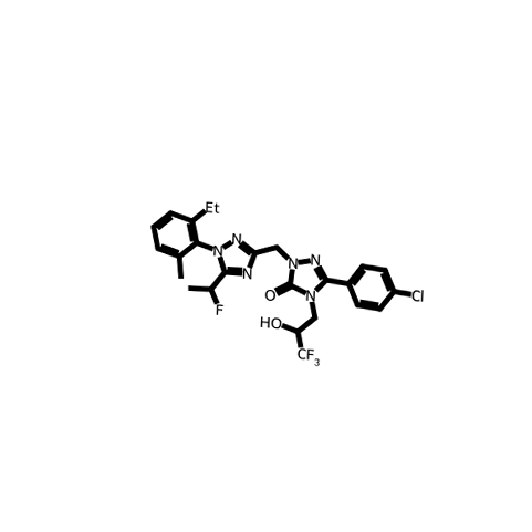 CCc1cccc(C)c1-n1nc(Cn2nc(-c3ccc(Cl)cc3)n(CC(O)C(F)(F)F)c2=O)nc1C(C)F